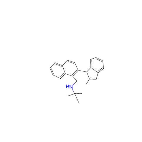 CC1=Cc2ccccc2C1c1ccc2ccccc2c1CNC(C)(C)C